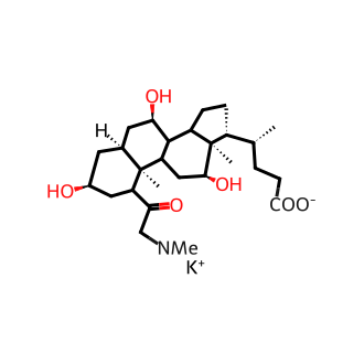 CNCC(=O)C1C[C@@H](O)C[C@H]2C[C@@H](O)C3C(C[C@H](O)[C@@]4(C)C3CC[C@@H]4[C@H](C)CCC(=O)[O-])[C@@]12C.[K+]